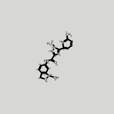 Cc1cccc(-c2nc(C(=O)Nc3ccc4c(c3)B(O)OC4)nn2C)n1